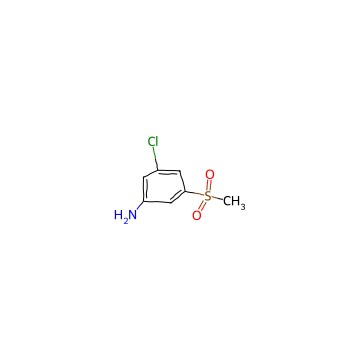 CS(=O)(=O)c1cc(N)cc(Cl)c1